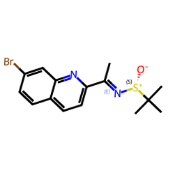 C/C(=N\[S@+]([O-])C(C)(C)C)c1ccc2ccc(Br)cc2n1